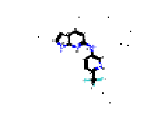 FC(F)(F)c1ccc(NC2=NC3NC=CC3C=C2)cn1